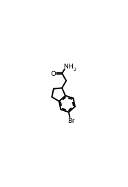 NC(=O)CC1CCc2cc(Br)ccc21